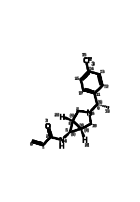 C=CC(=O)N[C@H]1[C@@H]2CN([C@@H](C)c3ccc(C(F)(F)F)cc3)C[C@@H]21